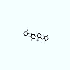 Cc1ccc(Cl)c(Nc2cc(F)cc(-c3cc(C)c(Cl)c(Nc4ccccc4C(=O)O)c3Cl)c2C(=O)O)c1Cl